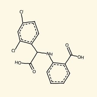 O=C(O)c1ccccc1NC(C(=O)O)c1ccc(Cl)cc1Cl